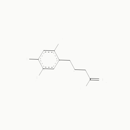 C=C(O)CCCc1cc(F)c(F)cc1F